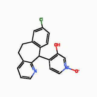 [O-][n+]1ccc(C2c3ccc(Cl)cc3CCc3cccnc32)c(O)c1